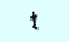 CC(C)N(C)CC[C@H](CSc1ccccc1)Nc1ccc(S(=O)(=O)NC(=O)c2ccc(C3=CCN(CC4=C(c5ccc(Cl)cc5)CCCC4)CC3)cc2)cc1S(=O)(=O)C(F)(F)F